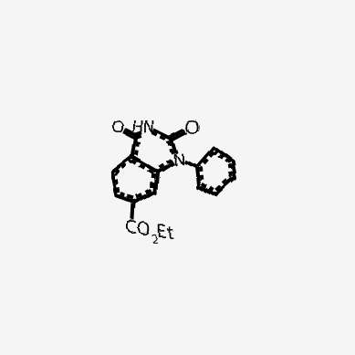 CCOC(=O)c1ccc2c(=O)[nH]c(=O)n(-c3ccccc3)c2c1